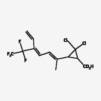 C=C/C(=C\C=C(/C)C1C(C(=O)O)C1(Cl)Cl)C(F)(F)C(F)(F)F